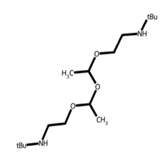 CC(OCCNC(C)(C)C)OC(C)OCCNC(C)(C)C